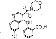 O=C(O)c1ccccc1Nc1c(S(=O)(=O)N2CCOCC2)cnc2ccc(Cl)cc12